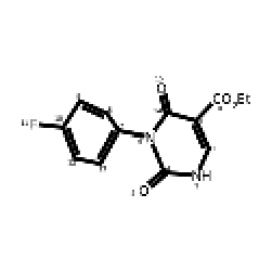 CCOC(=O)c1c[nH]c(=O)n(-c2ccc(F)cc2)c1=O